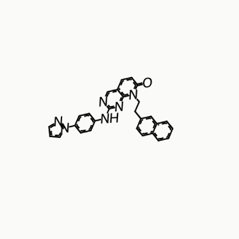 O=c1ccc2cnc(Nc3ccc(-n4cccn4)cc3)nc2n1CCc1ccc2ccccc2c1